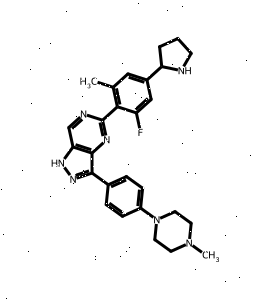 Cc1cc(C2CCCN2)cc(F)c1-c1ncc2[nH]nc(-c3ccc(N4CCN(C)CC4)cc3)c2n1